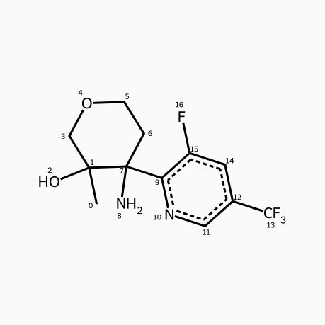 CC1(O)COCCC1(N)c1ncc(C(F)(F)F)cc1F